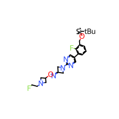 CC(C)(C)[Si](C)(C)OCc1cccc(-c2cnc(N3CC(=NOC4CN(CCF)C4)C3)nc2)c1F